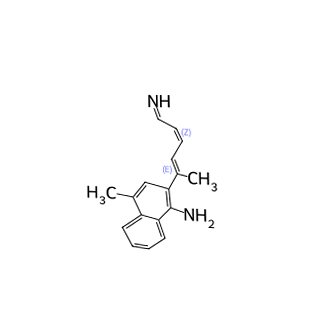 C/C(=C\C=C/C=N)c1cc(C)c2ccccc2c1N